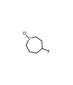 [O-][S+]1CCCC(F)CC1